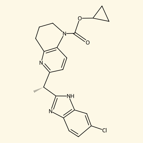 C[C@H](c1ccc2c(n1)CCCN2C(=O)OC1CC1)c1nc2ccc(Cl)cc2[nH]1